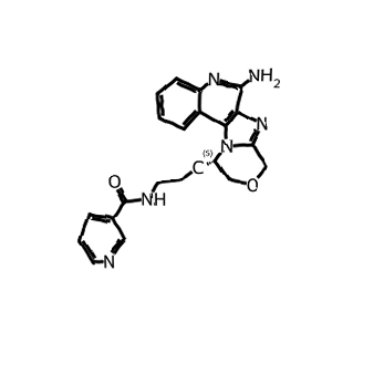 Nc1nc2ccccc2c2c1nc1n2[C@@H](CCCNC(=O)c2cccnc2)COC1